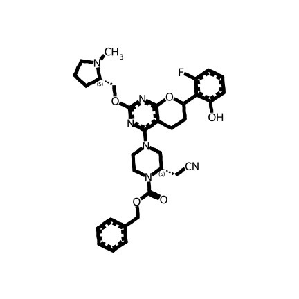 CN1CCC[C@H]1COc1nc2c(c(N3CCN(C(=O)OCc4ccccc4)[C@@H](CC#N)C3)n1)CCC(c1c(O)cccc1F)O2